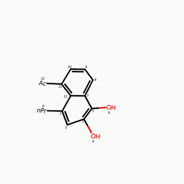 CCCc1cc(O)c(O)c2cccc(C(C)=O)c12